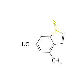 Cc1cc(C)c2c(c1)S(=S)C=C2